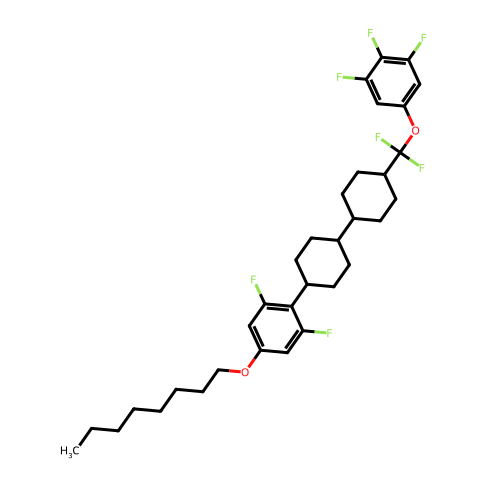 CCCCCCCCOc1cc(F)c(C2CCC(C3CCC(C(F)(F)Oc4cc(F)c(F)c(F)c4)CC3)CC2)c(F)c1